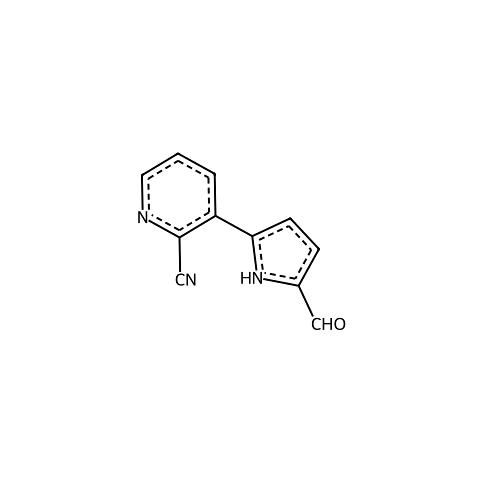 N#Cc1ncccc1-c1ccc(C=O)[nH]1